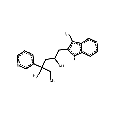 Cc1c(CC(N)CC(C)(CC(F)(F)F)c2cccnc2)[nH]c2ccccc12